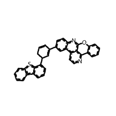 C1=CC(c2ccc3nc4c5c(nccc5c3c2)-c2ccccc2O4)=CC(c2cccc3c2sc2ccccc23)C1